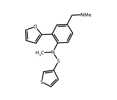 CNCc1ccc(N(C)Sc2ccsc2)c(-c2ccco2)c1